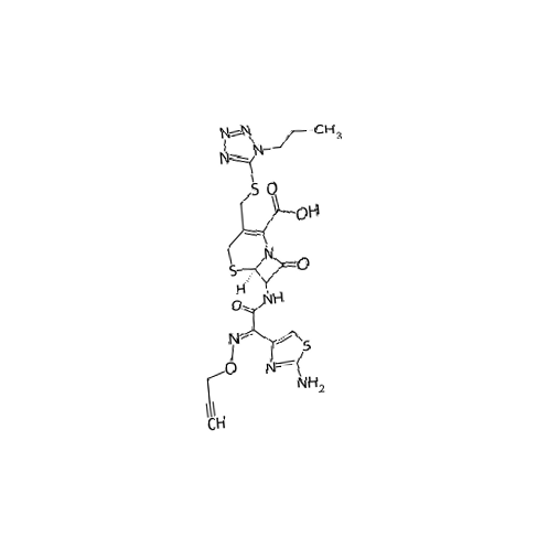 C#CCO/N=C(/C(=O)NC1C(=O)N2C(C(=O)O)=C(CSc3nnnn3CCC)CS[C@H]12)c1csc(N)n1